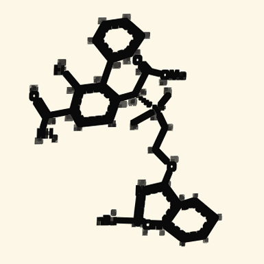 CCCCc1cc2ccccc2c(OCC[N+](C)(C)[C@@H](C(=O)OC)c2ccc(C(N)=O)c(CC)c2-c2ccccc2)n1